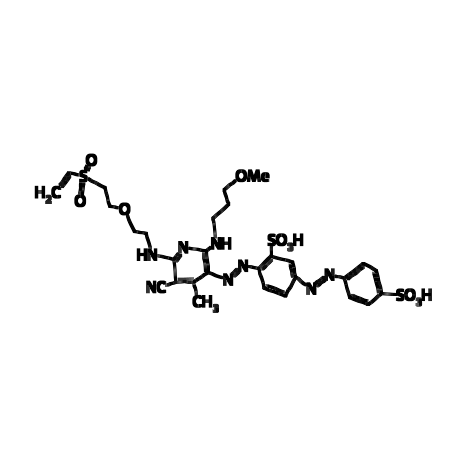 C=CS(=O)(=O)CCOCCNc1nc(NCCCOC)c(/N=N/c2ccc(/N=N/c3ccc(S(=O)(=O)O)cc3)cc2S(=O)(=O)O)c(C)c1C#N